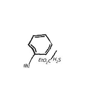 CC(C)(C)c1ccccc1.CCOC(C)=O.S